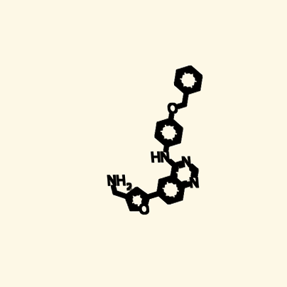 NCc1coc(-c2ccc3ncnc(Nc4ccc(OCc5ccccc5)cc4)c3c2)c1